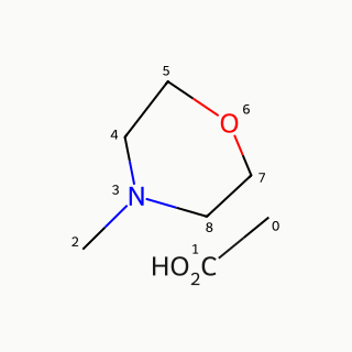 CC(=O)O.CN1CCOCC1